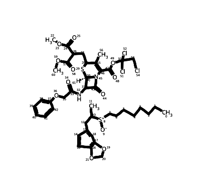 CCCCCCCC[S+]([O-])C(C)Cc1ccc2c(c1)OCO2.COC(=O)C(CC1S[C@@H]2C(NC(=O)COc3ccccc3)C(=O)N2C(C(=O)OC(Cl)(Cl)CCl)=C1C)C(=O)OC